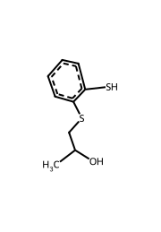 CC(O)CSc1ccccc1S